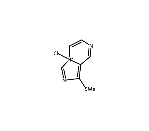 CSC1=C2C=NC=C[N+]2(Cl)C=N1